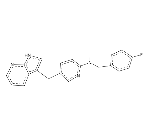 Fc1ccc(CNc2ccc(Cc3c[nH]c4ncccc34)cn2)cc1